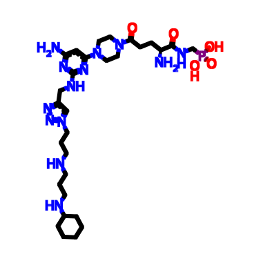 Nc1cc(N2CCN(C(=O)CC[C@H](N)C(=O)NCP(=O)(O)O)CC2)nc(NCc2cn(CCCNCCCNC3CCCCC3)nn2)n1